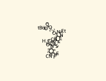 CCc1nc(OCCOC(=O)OC(C)(C)C)c2cc(N3C(=S)N(c4ccc(C#N)c(C(F)F)c4)C(=O)C3(C)C)ccc2n1